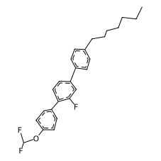 CCCCCCCc1ccc(-c2ccc(-c3ccc(OC(F)F)cc3)c(F)c2)cc1